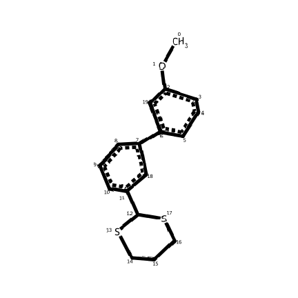 COc1cccc(-c2cccc(C3SCCCS3)c2)c1